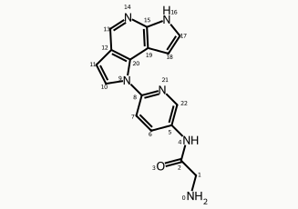 NCC(=O)Nc1ccc(-n2ccc3cnc4[nH]ccc4c32)nc1